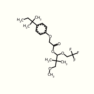 CCC(C)(C)c1ccc(OCC(=O)OC(OCC(F)(F)F)C(C)(C)COC)cc1